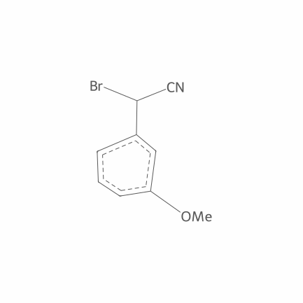 COc1cccc(C(Br)C#N)c1